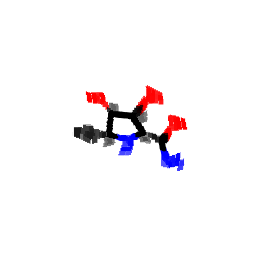 CCC[C@H]1N[C@@H](C(N)O)[C@H](O)[C@H]1O